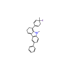 Cn1c2c(c3cc(-c4ccccc4)ccc31)=CCCC=2C1=CCC(C)(I)C=C1